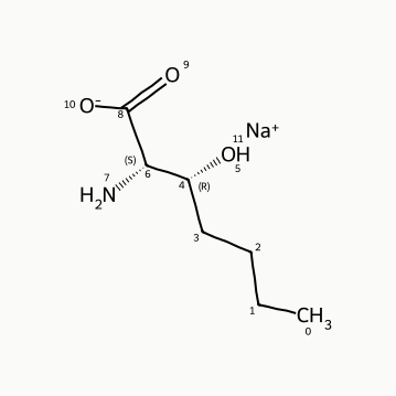 CCCC[C@@H](O)[C@H](N)C(=O)[O-].[Na+]